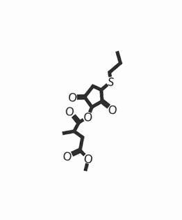 CCCSC1CC(=O)C(OC(=O)C(C)CC(=O)OC)C1=O